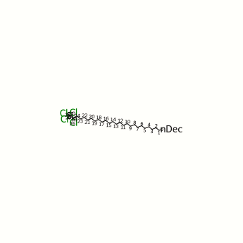 CCCCCCCCCCCCCCCCCCCCCCCCCCCCCCCCCC[C@H](Cl)[Si](Cl)(Cl)Cl